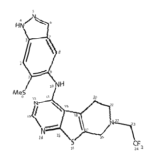 CSc1cc2[nH]ncc2cc1Nc1ncnc2sc3c(c12)CCN(CC(F)(F)F)C3